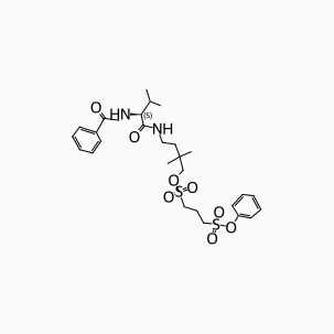 CC(C)[C@H](NCC(=O)c1ccccc1)C(=O)NCCC(C)(C)COS(=O)(=O)CCCS(=O)(=O)Oc1ccccc1